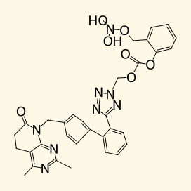 Cc1nc(C)c2c(n1)N(Cc1ccc(-c3ccccc3-c3nnn(COC(=O)Oc4ccccc4CON(O)O)n3)cc1)C(=O)CC2